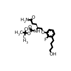 CC(C)(C)OC(=O)N[C@@H](CCC(N)=O)COc1cccc(CCCCO)c1F